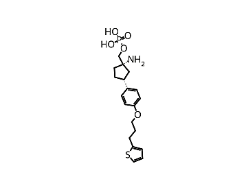 N[C@@]1(COP(=O)(O)O)CC[C@@H](c2ccc(OCCCc3cccs3)cc2)C1